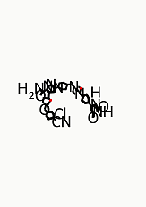 N#Cc1ccc(OC2CCC(c3cc(N4CCC(CN5CCN(c6ccc(-c7cc(=O)[nH]c(=O)[nH]7)cc6)CC5)CC4)nnc3C(N)=O)CC2)cc1Cl